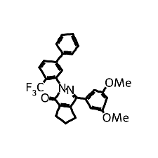 COc1cc(OC)cc(-c2nn(-c3cc(-c4ccccc4)ccc3C(F)(F)F)c(=O)c3c2CCC3)c1